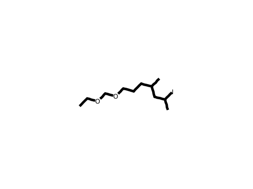 CCOCOCCCC(C)CC(C)I